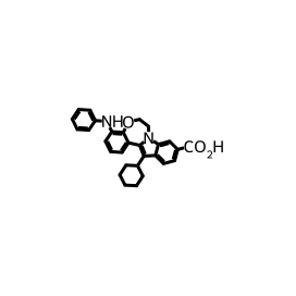 O=C(O)c1ccc2c(C3CCCCC3)c3n(c2c1)CCOc1c(Nc2ccccc2)cccc1-3